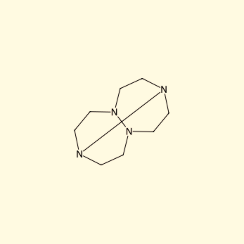 C1CN2CCN3CCN2CCN13